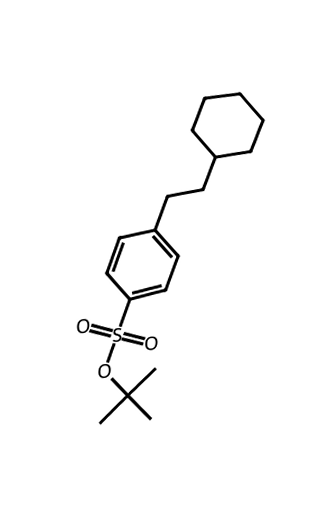 CC(C)(C)OS(=O)(=O)c1ccc(CCC2CCCCC2)cc1